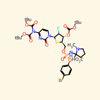 CN1CCCC1(NP(=O)(OC[C@H]1S[C@@H](n2ccc(N(C(=O)OC(C)(C)C)C(=O)OC(C)(C)C)nc2=O)[C@@H](F)[C@@H]1OC(=O)OC(C)(C)C)Oc1ccc(Br)cc1)C(=O)O